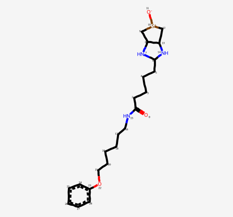 O=C(CCCCC1NC2C[S+]([O-])CC2N1)NCCCCCCOc1[c]cccc1